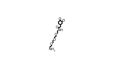 NCCOCCOCCOCCNC(=O)CC1CCC(=O)C(=O)C1